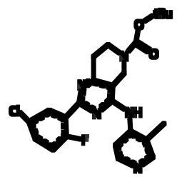 Cc1cnccc1Nc1nc(-c2cc(Cl)ccc2F)nc2c1CN(C(=O)OC(C)(C)C)CC2